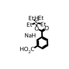 CC[SH](CC)(CC)(CC)OC(=O)c1cccc(C(=O)O)c1.[NaH]